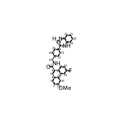 COc1ccc(C=C(C(=O)NCc2ccc(C(=O)Nc3ccccc3N)cc2)c2ccc(F)cc2)cc1